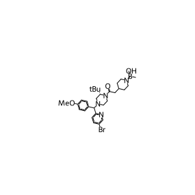 COc1ccc(C(c2ccc(Br)cn2)N2CCN(C(=O)CC3CCN(B(C)O)CC3)[C@@H](C(C)(C)C)C2)cc1